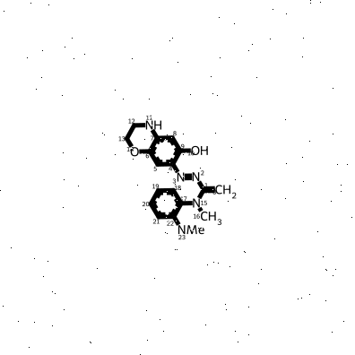 C=C(/N=N/c1cc2c(cc1O)NCCO2)N(C)c1ccccc1NC